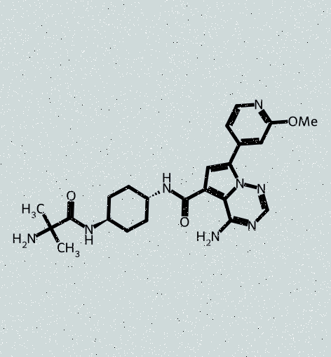 COc1cc(-c2cc(C(=O)N[C@H]3CC[C@H](NC(=O)C(C)(C)N)CC3)c3c(N)ncnn23)ccn1